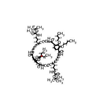 CCCCOc1c2ccc(c1OCCCC)C(=O)NCCCN(CCCNC(=O)OC(C)(C)C)CCCNC(=O)c1ccc(c(OCCCC)c1OCCCC)C(=O)NCCCN(CCCNC(=O)OC(C)(C)C)CCCNC2=O